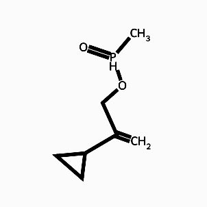 C=C(CO[PH](C)=O)C1CC1